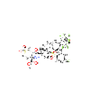 COC(=O)C1(NC(=O)[C@@H]2CC[C@@]3(S(=O)(=O)c4ccc(F)cc4)c4ccc(C(F)(C(F)(F)F)C(F)(F)F)cc4CC[C@@H]23)CCS(=O)(=O)CC1